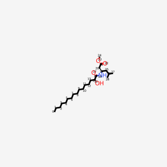 CCCCCCCCCCCCCCC(O)C(=O)N[C@@H](CC(=O)OC)CC(C)C